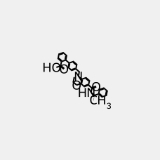 C[C@H](NC(=O)c1ccc2c(c1)OCCN2Cc1ccc(-c2ccccc2C(=O)O)cc1)c1ccccc1